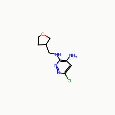 Nc1cc(Cl)nnc1NCC1CCOC1